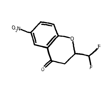 O=C1CC(C(F)F)Oc2ccc([N+](=O)[O-])cc21